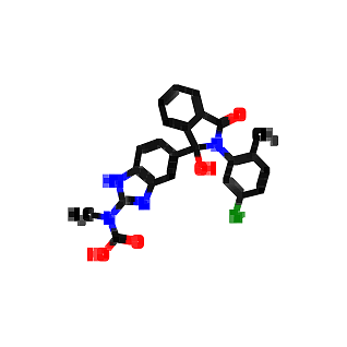 Cc1ccc(Br)cc1N1C(=O)c2ccccc2C1(O)c1ccc2[nH]c(N(C)C(=O)O)nc2c1